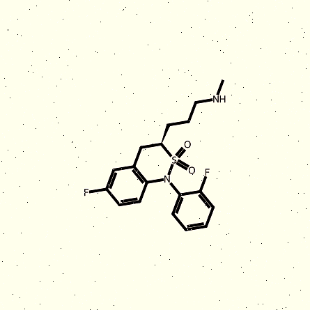 CNCCC[C@@H]1Cc2cc(F)ccc2N(c2ccccc2F)S1(=O)=O